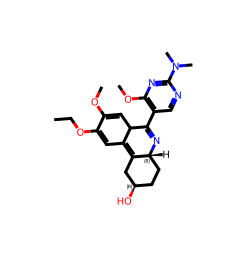 CCOC1=CC2=C3C[C@H](O)CC[C@H]3N=C(c3cnc(N(C)C)nc3OC)C2C=C1OC